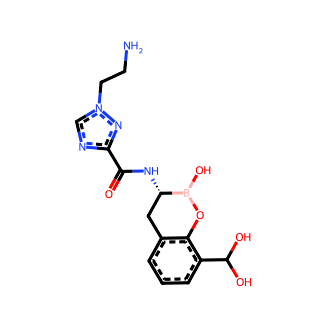 NCCn1cnc(C(=O)N[C@H]2Cc3cccc(C(O)O)c3OB2O)n1